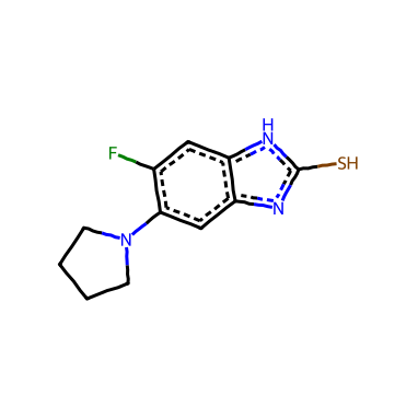 Fc1cc2[nH]c(S)nc2cc1N1CCCC1